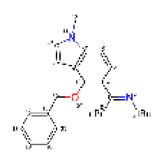 CCCC(=NC(C)(C)C)c1ccc2c(ccn2C)c1OCc1ccccc1